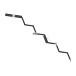 C=C=CCCN/C=C/SCCI